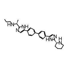 CCCN[C@@H](C)c1ncc(-c2ccc(-c3ccc(-c4cnc([C@@H]5CCCCN5)[nH]4)cc3)cc2)[nH]1